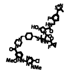 CNc1nc(Nc2ccc(C(=O)N3CCN(C[C@H]4CC[C@@H](CSC(C)(C)[C@H](NC(=O)C5(F)CC5)C(=O)N5C[C@H](O)CC5C(=O)NCc5ccc(-c6scnc6C)cc5F)CC4)CC3)cc2OC)ncc1Cl